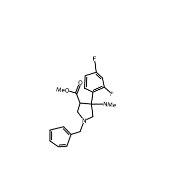 CNC1(c2ccc(F)cc2F)CN(Cc2ccccc2)CC1C(=O)OC